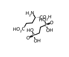 N[C@@H](CCC(=O)O)C(=O)O.O=P(O)(O)CCP(=O)(O)O